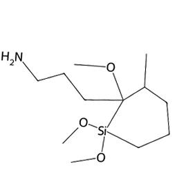 COC1(CCCN)C(C)CCC[Si]1(OC)OC